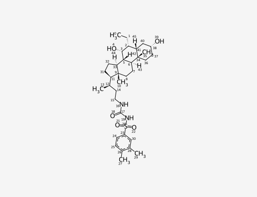 CC[C@H]1[C@@H](O)[C@@H]2[C@H](CC[C@]3(C)[C@@H]([C@H](C)CCNC(=O)NS(=O)(=O)c4ccc(C)c(C)c4)CC[C@@H]23)[C@@]2(C)CC[C@@H](O)C[C@@H]12